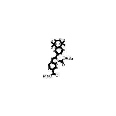 COC(=O)c1ccc2cc(-c3ccc4c(c3)C(C)(C)CCC4(C)C)n(C(=O)OC(C)(C)C)c2c1